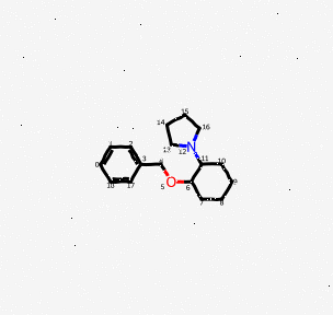 c1ccc(COC2CCCCC2N2CCCC2)cc1